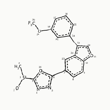 C[S+]([O-])c1nnc(-c2ccc3occ(-c4cccc(OC(F)(F)F)c4)c3c2)o1